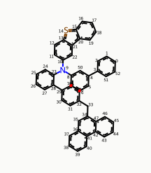 c1ccc(-c2cccc(N(c3ccc4sc5ccccc5c4c3)c3ccccc3-c3ccc(Cc4cc5ccccc5c5ccccc45)cc3)c2)cc1